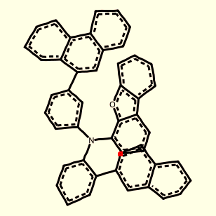 c1cc(-c2cc3ccccc3c3ccccc23)cc(N(c2ccccc2-c2ccc3ccccc3c2)c2cccc3c2oc2ccccc23)c1